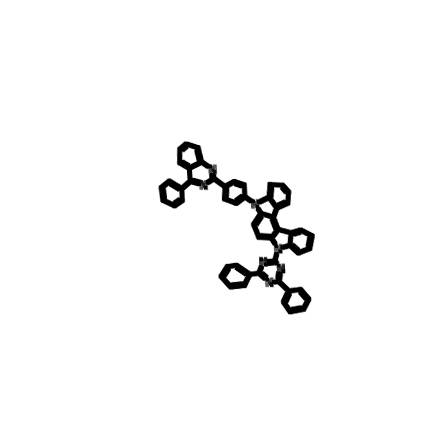 c1ccc(-c2nc(-c3ccccc3)nc(-n3c4ccccc4c4c5c6ccccc6n(-c6ccc(-c7nc(-c8ccccc8)c8ccccc8n7)cc6)c5ccc43)n2)cc1